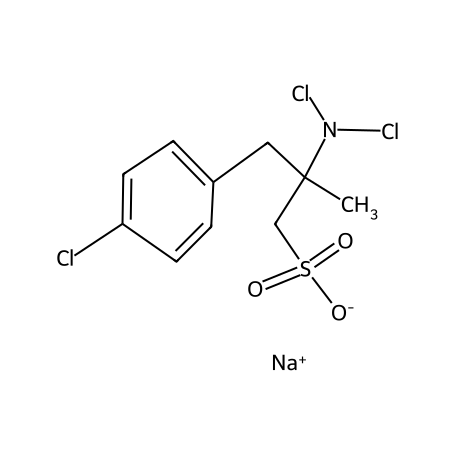 CC(Cc1ccc(Cl)cc1)(CS(=O)(=O)[O-])N(Cl)Cl.[Na+]